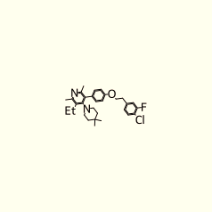 CCc1c(C)nc(C)c(-c2ccc(OCCc3ccc(Cl)c(F)c3)cc2)c1N1CCC(C)(C)CC1